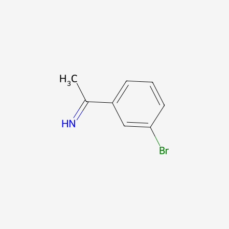 CC(=N)c1cccc(Br)c1